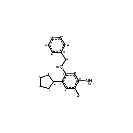 Cc1cc(C2CCCC2)c(OCc2ccccc2)cc1N